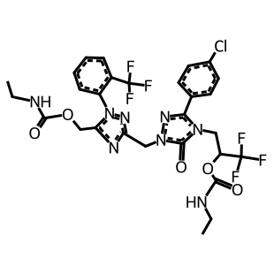 CCNC(=O)OCc1nc(Cn2nc(-c3ccc(Cl)cc3)n(CC(OC(=O)NCC)C(F)(F)F)c2=O)nn1-c1ccccc1C(F)(F)F